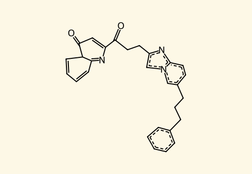 O=C(CCc1cn2cc(CCCc3ccccc3)ccc2n1)C1=CC(=O)C2C=CC=CC2=N1